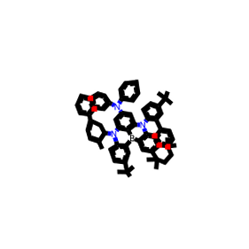 CC1=CC=C(c2ccccc2)CC1N1c2ccc(C(C)(C)C)cc2B2c3cc4c(cc3N(c3ccc(C(C)(C)C)cc3-c3ccccc3)c3cc(N(c5ccccc5)c5ccccc5)cc1c32)C(C)(C)CCC4(C)C